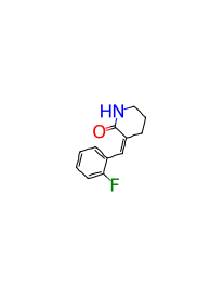 O=C1NCCC/C1=C/c1ccccc1F